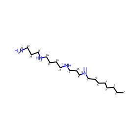 CCCCCCCCNCCCNCCCCNCCCN